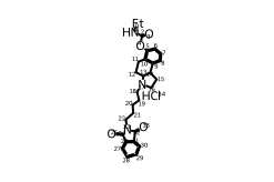 CCNC(=O)Oc1cccc2c1CCC1C2CCN1CCCCCN1C(=O)c2ccccc2C1=O.Cl